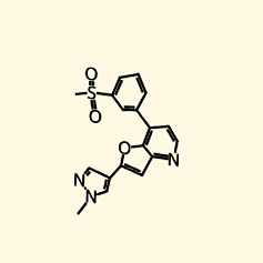 Cn1cc(-c2cc3nccc(-c4cccc(S(C)(=O)=O)c4)c3o2)cn1